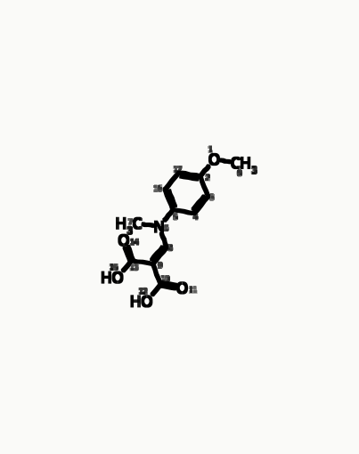 COc1ccc(N(C)C=C(C(=O)O)C(=O)O)cc1